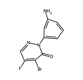 Nc1cccc(-n2ncc(F)c(Br)c2=O)c1